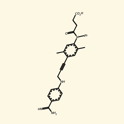 Cc1cc(N(C(=O)CCC(=O)O)C(C)C)c(C)cc1C#CCNc1ccc(C(=N)N)cc1